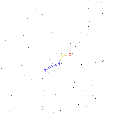 [N-]=[N+]=NSOI